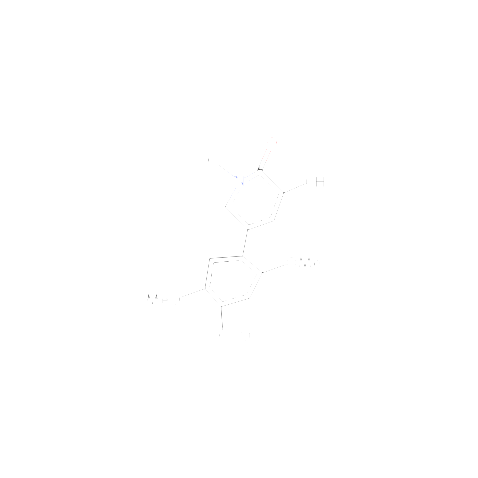 COc1cc(-c2cc(C)c(=O)n(C)c2)c(OC)cc1C=O